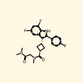 CN(C)C(=O)CN(C)C(=O)[C@H]1C[C@H](c2c(-c3ccc(F)cc3)[nH]c3c(F)cc(F)cc32)C1